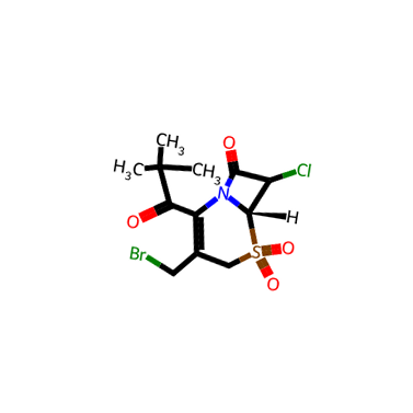 CC(C)(C)C(=O)C1=C(CBr)CS(=O)(=O)[C@H]2C(Cl)C(=O)N12